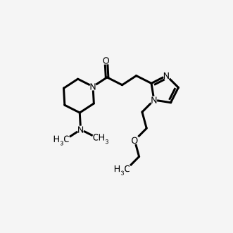 CCOCCn1ccnc1CCC(=O)N1CCCC(N(C)C)C1